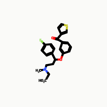 CN(CCC(Oc1cccc(C(=O)c2ccsc2)c1)c1ccc(F)cc1)CC(=O)O